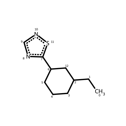 CCC1CCCC(c2ncns2)C1